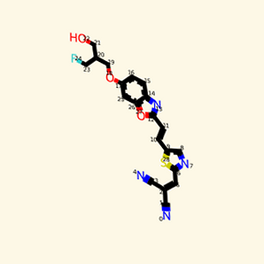 N#CC(C#N)=Cc1ncc(C=Cc2nc3ccc(OCC(CO)CF)cc3o2)s1